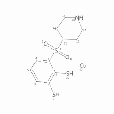 O=S(=O)(c1cccc(S)c1S)C1CCNCC1.[Cu]